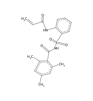 C=CC(=O)Nc1ccccc1S(=O)(=O)NC(=O)c1c(C)cc(C)cc1C